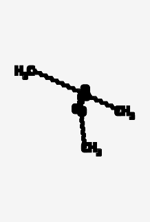 CCCCCCCCCCCCCCCCCCC(CSCCC(=O)OCCCCCCCCCCCC)C(=O)OCCCCCCCCCCCC